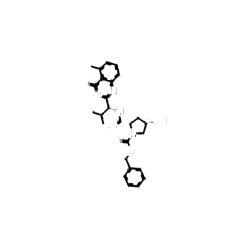 Cc1cccc2nc([C@@H](NC(=O)[C@@H]3C[C@@H](O)CN3C(=O)OCc3ccccc3)C(C)C)oc(=O)c12